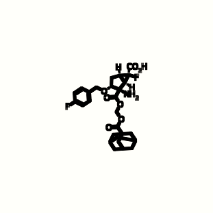 N[C@]1(C(=O)OCOC(=O)C23CC4CC(CC(C4)C2)C3)[C@H]2[C@@H](C[C@H]1OCc1ccc(F)cc1)[C@]2(F)C(=O)O